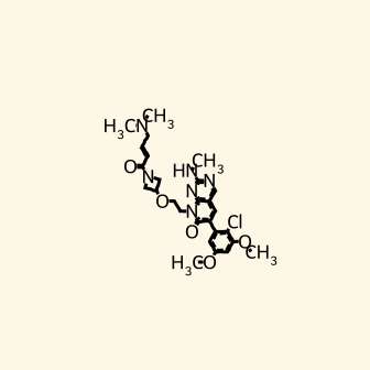 CNc1ncc2cc(-c3cc(OC)cc(OC)c3Cl)c(=O)n(CCOC3CN(C(=O)C=CCN(C)C)C3)c2n1